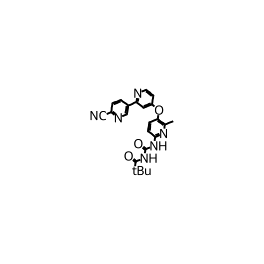 Cc1nc(NC(=O)NC(=O)C(C)(C)C)ccc1Oc1ccnc(-c2ccc(C#N)nc2)c1